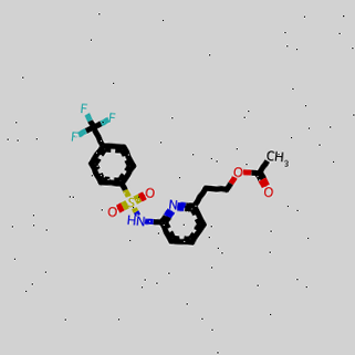 CC(=O)OCCc1cccc(NS(=O)(=O)c2ccc(C(F)(F)F)cc2)n1